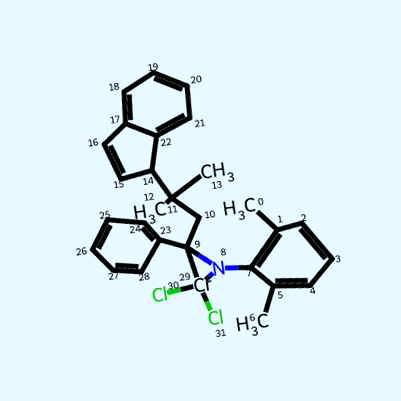 Cc1cccc(C)c1[N]1[C](CC(C)(C)C2C=Cc3ccccc32)(c2ccccc2)[Cr]1([Cl])[Cl]